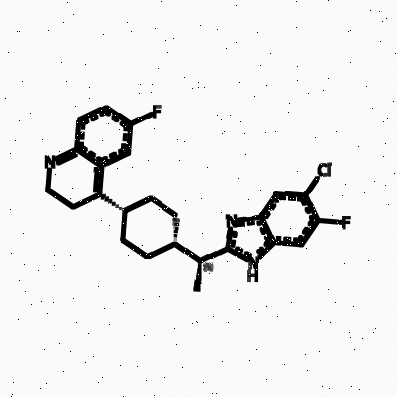 C[C@H](c1nc2cc(Cl)c(F)cc2[nH]1)[C@H]1CC[C@@H](C2=c3cc(F)ccc3=NCC2)CC1